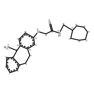 NC1c2ccccc2CCc2cc(OCC(=O)NCC3CCCCCC3)ccc21